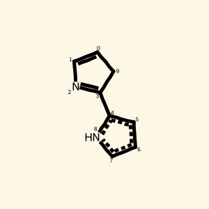 C1=CN=C(c2ccc[nH]2)C1